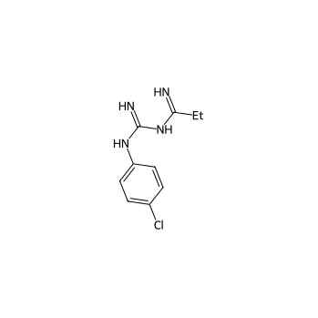 CCC(=N)NC(=N)Nc1ccc(Cl)cc1